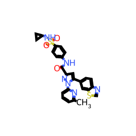 Cc1cccc(-n2nc(C(=O)Nc3ccc(S(=O)(=O)NC4CC4)cc3)cc2-c2ccc3ncsc3c2)n1